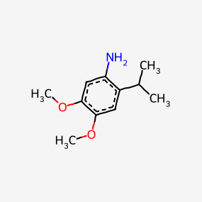 COc1cc(N)c(C(C)C)cc1OC